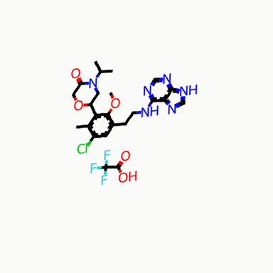 COc1c(CCNc2ncnc3[nH]cnc23)cc(Cl)c(C)c1C1CN(C(C)C)C(=O)CO1.O=C(O)C(F)(F)F